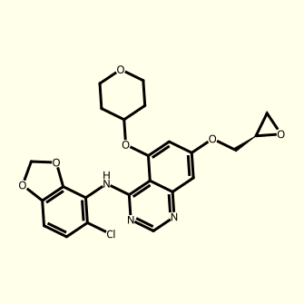 Clc1ccc2c(c1Nc1ncnc3cc(OC[C@H]4CO4)cc(OC4CCOCC4)c13)OCO2